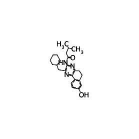 CC(C)CC(=O)Nc1nc2c(nc1CC1CCCCC1)-c1ccc(O)cc1CC2